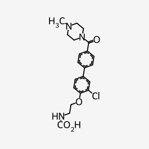 CN1CCN(C(=O)c2ccc(-c3ccc(OCCNC(=O)O)c(Cl)c3)cc2)CC1